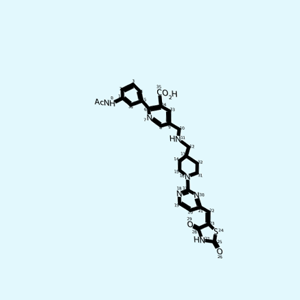 CC(=O)Nc1cccc(-c2ncc(CNCC3CCN(c4nccc(C=C5SC(=O)NC5=O)n4)CC3)cc2C(=O)O)c1